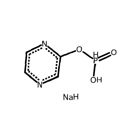 O=[PH](O)Oc1cnccn1.[NaH]